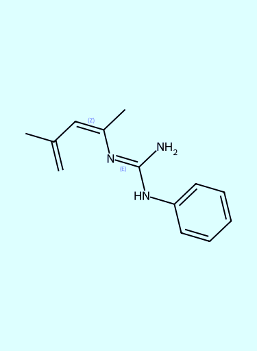 C=C(C)/C=C(C)\N=C(/N)Nc1ccccc1